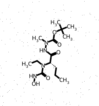 CCC[C@@H](C(=O)NN(C)C(=O)OC(C)(C)C)N(CC)C(=O)NO